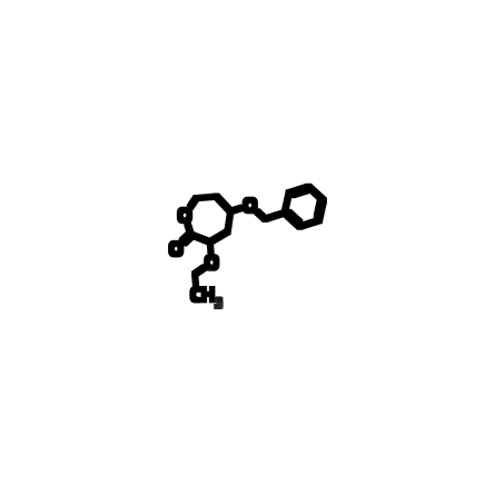 CCOC1CC(OCc2ccccc2)CCOC1=O